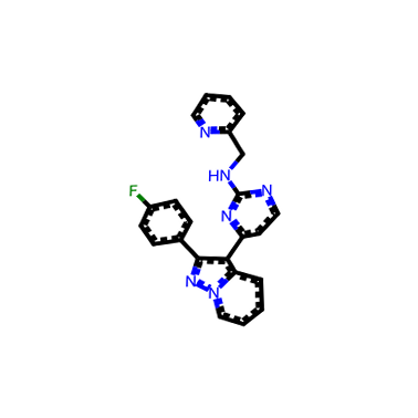 Fc1ccc(-c2nn3ccccc3c2-c2ccnc(NCc3ccccn3)n2)cc1